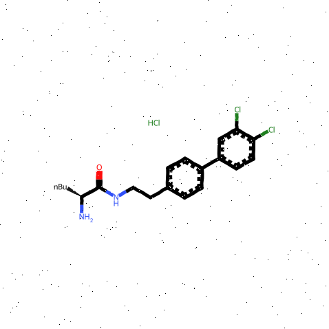 CCCC[C@H](N)C(=O)NCCc1ccc(-c2ccc(Cl)c(Cl)c2)cc1.Cl